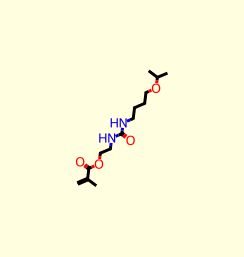 C=C(C)C(=O)OCCNC(=O)NCCCCOC(C)C